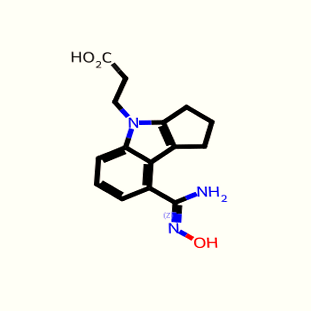 N/C(=N\O)c1cccc2c1c1c(n2CCC(=O)O)CCC1